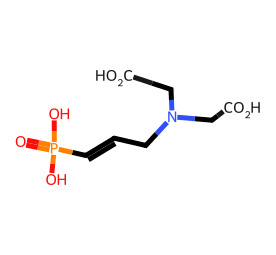 O=C(O)CN(CC=CP(=O)(O)O)CC(=O)O